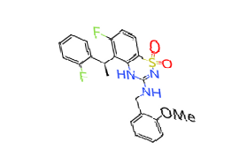 COc1ccccc1CNC1=NS(=O)(=O)c2ccc(F)c([C@@H](C)c3ccccc3F)c2N1